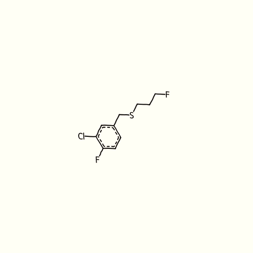 FCCCSCc1ccc(F)c(Cl)c1